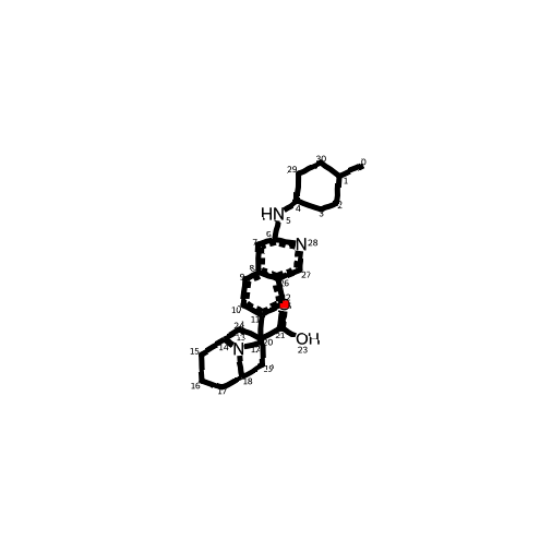 CC1CCC(Nc2cc3ccc(CN4C5CCCC4CC(C(=O)O)C5)cc3cn2)CC1